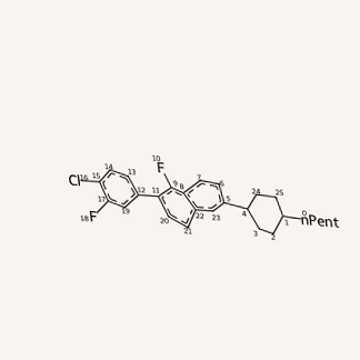 CCCCCC1CCC(c2ccc3c(F)c(-c4ccc(Cl)c(F)c4)ccc3c2)CC1